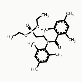 CCOP(=O)(CCP(C(=O)c1c(C)cc(C)cc1C)c1c(C)cc(C)cc1C)OCC